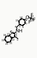 Cc1c(NCc2ccc(OC(F)(F)F)cc2)sc2ccccc12